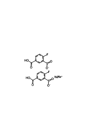 O=C(O)c1ccc(F)c(S(=O)[O-])c1.O=C(O)c1ccc(F)c(S(=O)[O-])c1.[Na+].[Na+]